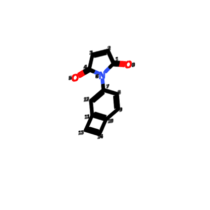 O=C1C=CC(=O)N1c1ccc2c(c1)C=C2